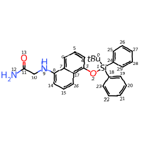 CC(C)(C)[Si](Oc1cccc2c(NCC(N)=O)cccc12)(c1ccccc1)c1ccccc1